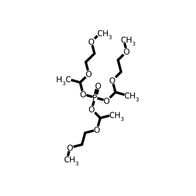 COCCOC(C)OP(=O)(OC(C)OCCOC)OC(C)OCCOC